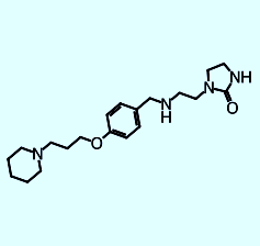 O=C1NCCN1CCNCc1ccc(OCCCN2CCCCC2)cc1